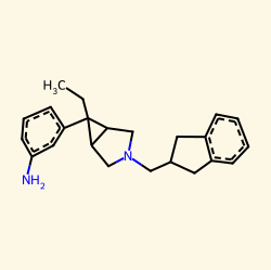 CCC1(c2cccc(N)c2)C2CN(CC3Cc4ccccc4C3)CC21